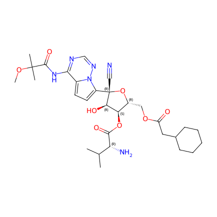 COC(C)(C)C(=O)Nc1ncnn2c([C@]3(C#N)O[C@H](COC(=O)CC4CCCCC4)[C@@H](OC(=O)[C@H](N)C(C)C)[C@H]3O)ccc12